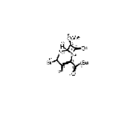 CO[C@H]1C(=O)N2C(C(=O)C(C)(C)C)=C(C)C(Br)S[C@H]12